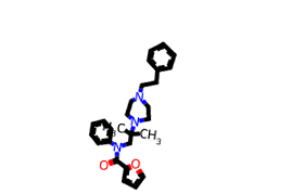 CC(C)(CN(C(=O)c1ccco1)c1ccccc1)N1CCN(CCc2ccccc2)CC1